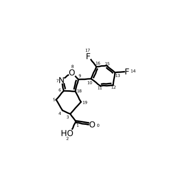 O=C(O)C1CCc2noc(-c3ccc(F)cc3F)c2C1